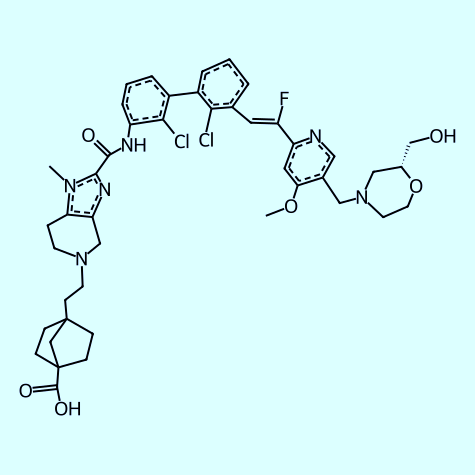 COc1cc(/C(F)=C/c2cccc(-c3cccc(NC(=O)c4nc5c(n4C)CCN(CCC46CCC(C(=O)O)(CC4)C6)C5)c3Cl)c2Cl)ncc1CN1CCO[C@@H](CO)C1